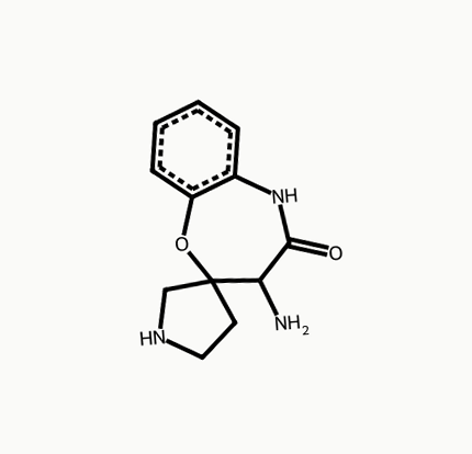 NC1C(=O)Nc2ccccc2OC12CCNC2